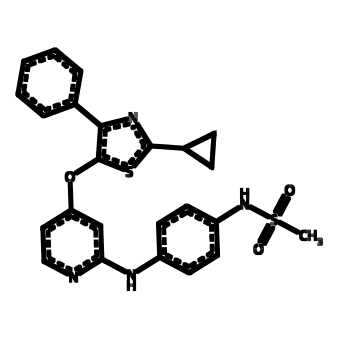 CS(=O)(=O)Nc1ccc(Nc2cc(Oc3sc(C4CC4)nc3-c3ccccc3)ccn2)cc1